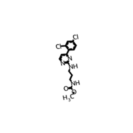 COC(=O)NCCCNc1nccc(-c2ccc(Cl)cc2Cl)n1